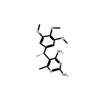 COc1cc([C@@H](C)c2c(C)nc(N)nc2N)cc(OC)c1OC